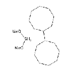 C1CCCC(C2CCCCCCC2)CCC1.CO[SiH2]OC